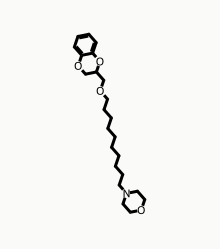 c1ccc2c(c1)OCC(COCCCCCCCCCCN1CCOCC1)O2